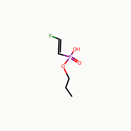 CCCOP(=O)(O)C=CF